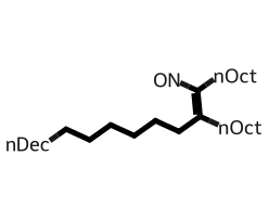 CCCCCCCCCCCCCCCCC(CCCCCCCC)=C(CCCCCCCC)N=O